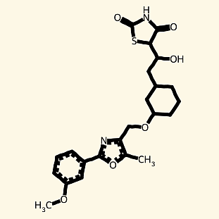 COc1cccc(-c2nc(COC3CCCC(CC(O)C4SC(=O)NC4=O)C3)c(C)o2)c1